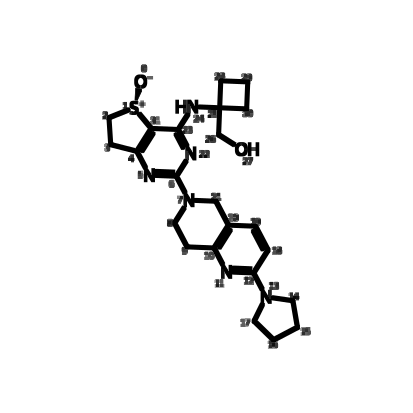 [O-][S@+]1CCc2nc(N3CCc4nc(N5CCCC5)ccc4C3)nc(NC3(CO)CCC3)c21